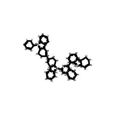 C1=CCC(n2c3c(c4ccccc42)C=C(C2=Cc4c(n(-c5cc6ccccc6c(-c6cccc7c8c(sc67)C=CCC8)n5)c5ccccc45)CC2)CC3)C=C1